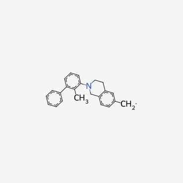 [CH2]c1ccc2c(c1)CCN(c1cccc(-c3ccccc3)c1C)C2